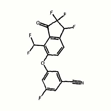 N#Cc1cc(F)cc(Oc2ccc3c(c2C(F)F)C(=O)C(F)(F)C3F)c1